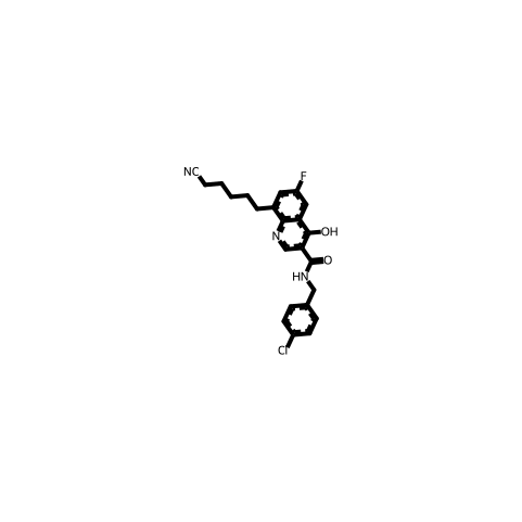 N#CCCCCCc1cc(F)cc2c(O)c(C(=O)NCc3ccc(Cl)cc3)cnc12